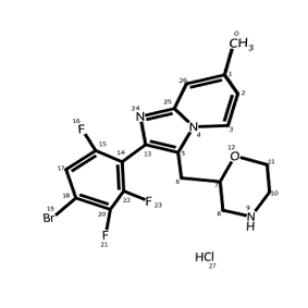 Cc1ccn2c(CC3CNCCO3)c(-c3c(F)cc(Br)c(F)c3F)nc2c1.Cl